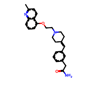 Cc1ccc2c(OCCN3CCC(=Cc4cccc(CC(N)=O)c4)CC3)cccc2n1